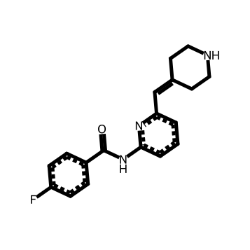 O=C(Nc1cccc(C=C2CCNCC2)n1)c1ccc(F)cc1